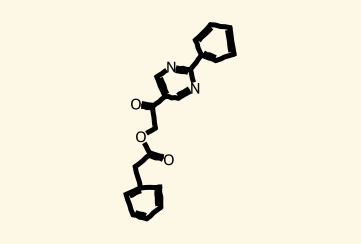 O=C(Cc1ccccc1)OCC(=O)c1cnc(-c2ccccc2)nc1